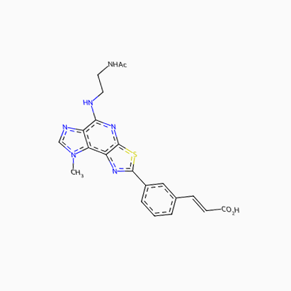 CC(=O)NCCNc1nc2sc(-c3cccc(/C=C/C(=O)O)c3)nc2c2c1ncn2C